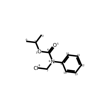 CC(C)OC(=O)N(CCl)c1ccccc1